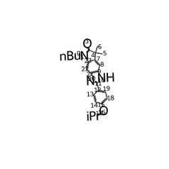 CCCCN1C(=O)C(C)(C)c2cc3[nH]c(-c4ccc(OC(C)C)cc4)nc3cc21